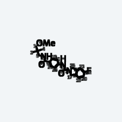 COCC(C)(C)CNC(=O)c1ccc(NC(=O)N2Cc3ccc(F)cc3C2)cc1